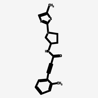 Cc1cnc(N2CCC(NC(=O)C#Cc3ccccc3C)C2)s1